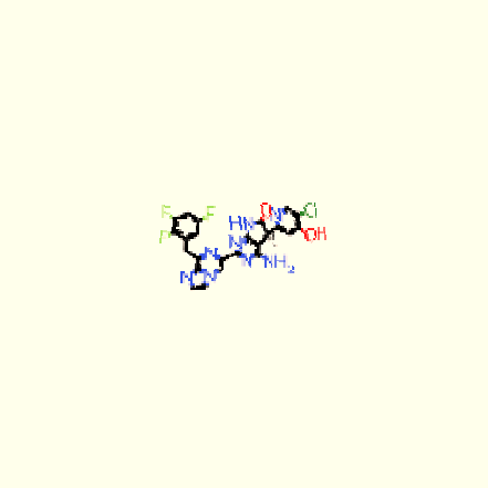 C[C@@]1(c2cc(O)c(Cl)cn2)C(=O)Nc2nc(-c3cn4ccnc4c(Cc4cc(F)cc(F)c4F)n3)nc(N)c21